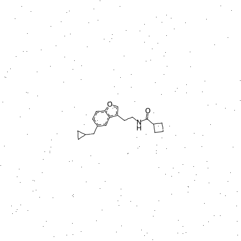 O=C(NCCc1coc2ccc(CC3CC3)cc12)C1CCC1